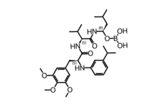 COc1cc(C[C@H](Nc2cccc(C(C)C)c2)C(=O)N[C@H](C(=O)N[C@@H](CC(C)C)OB(O)O)C(C)C)cc(OC)c1OC